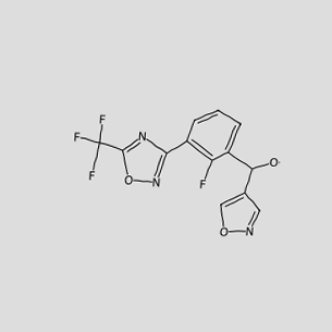 [O]C(c1cnoc1)c1cccc(-c2noc(C(F)(F)F)n2)c1F